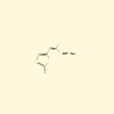 CCOC(=O)C(=Cc1cnc(C)s1)N=[N+]=[N-]